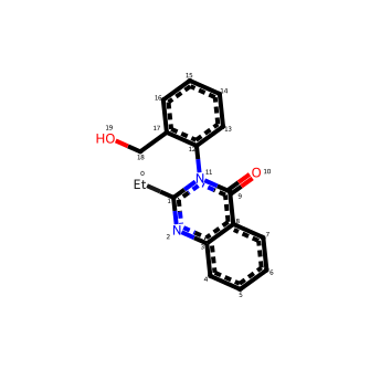 CCc1nc2ccccc2c(=O)n1-c1ccccc1CO